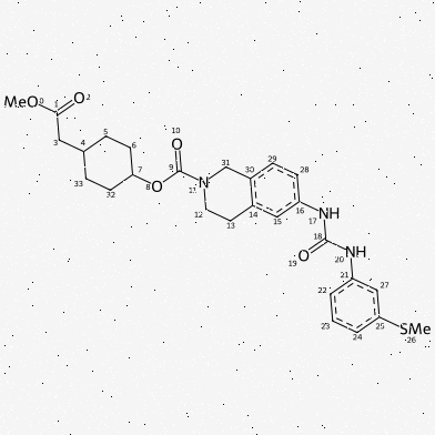 COC(=O)CC1CCC(OC(=O)N2CCc3cc(NC(=O)Nc4cccc(SC)c4)ccc3C2)CC1